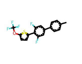 Cc1ccc(-c2cc(F)c(-c3ccc(OC(F)(F)F)s3)c(F)c2)cc1